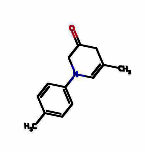 CC1=CN(c2ccc(C)cc2)CC(=O)C1